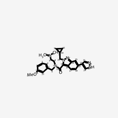 COc1cccc(CN(CCN(C)C)C(=O)c2c3ccc(-c4cn[nH]c4)cc3nn2CC2CC2)c1